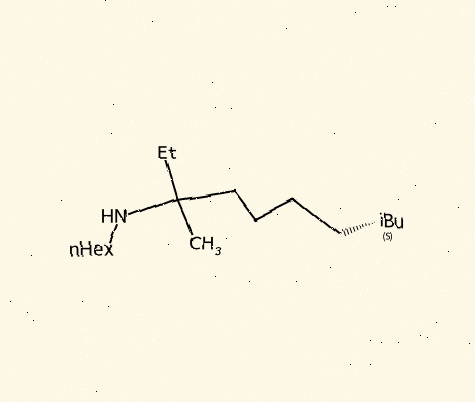 CCCCCCNC(C)(CC)CCCC[C@@H](C)CC